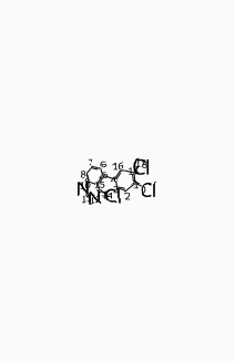 Clc1ccc(-c2cccc3ncnc(Cl)c23)cc1Cl